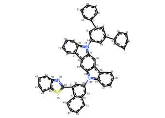 c1ccc(-c2cc(-c3ccccc3)cc(-n3c4ccccc4c4cc5c(cc43)c3ccccc3n5-c3cc(-c4nc5ccccc5s4)c4ccccc4c3)c2)cc1